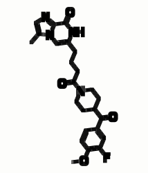 COc1ccc(C(=O)C2CCN(C(=O)CCCc3cn4c(C)cnc4c(=O)[nH]3)CC2)cc1F